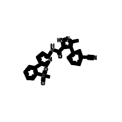 Cc1n[nH]c(C(=O)Nc2ccc(-c3ccccc3S(C)(=O)=O)cn2)c1-c1cccc(C#N)c1